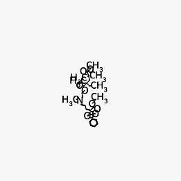 CCOC(=O)C(=CC=CN(C)CCOC(=O)C(C)(CC)CC(C)(C)C(=O)OC)S(=O)(=O)c1ccccc1